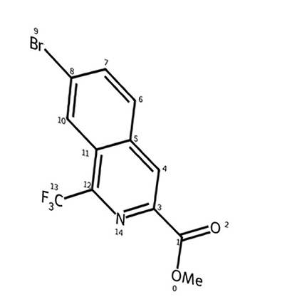 COC(=O)c1cc2ccc(Br)cc2c(C(F)(F)F)n1